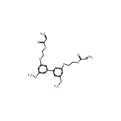 C=CC(=O)OCCOc1cc(OC(F)(F)F)cc(-c2cc(OCCOC(=O)C=C)cc(OC(F)(F)F)c2)c1